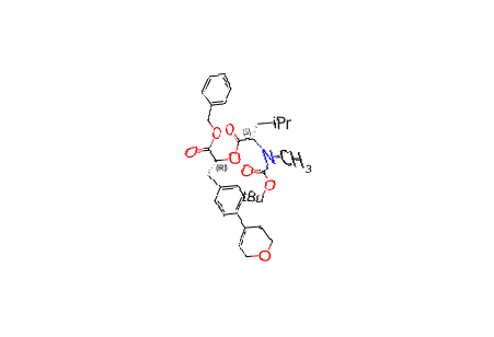 CC(C)C[C@@H](C(=O)O[C@H](Cc1ccc(C2=CCOCC2)cc1)C(=O)OCc1ccccc1)N(C)C(=O)OC(C)(C)C